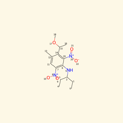 CCC(CC)Nc1c([N+](=O)[O-])cc(C)c(C(C)OC)c1[N+](=O)[O-]